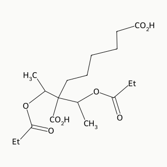 CCC(=O)OC(C)C(CCCCCC(=O)O)(C(=O)O)C(C)OC(=O)CC